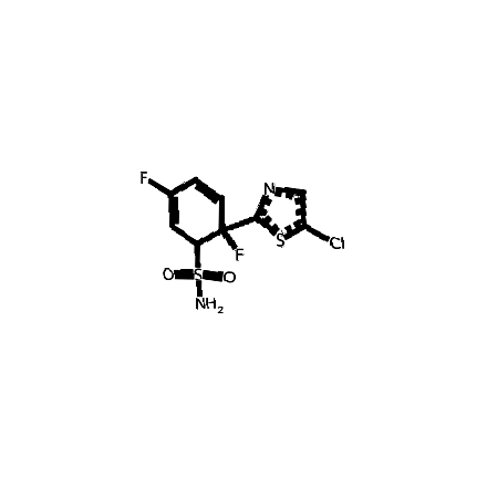 NS(=O)(=O)C1C=C(F)C=CC1(F)c1ncc(Cl)s1